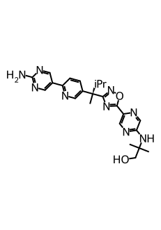 CC(C)[C@@](C)(c1ccc(-c2cnc(N)nc2)nc1)c1noc(-c2cnc(NC(C)(C)CO)cn2)n1